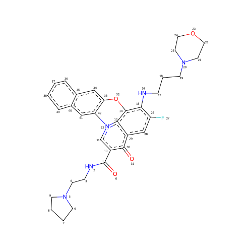 O=C(NCCN1CCCC1)c1cn2c3c(c(NCCCN4CCOCC4)c(F)cc3c1=O)Oc1cc3ccccc3cc1-2